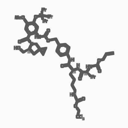 C=CCOC(=O)N[C@H](C(=O)N[C@@H](CCCCNC(=O)OCC(Cl)(Cl)Cl)C(=O)Nc1ccc(COC(=O)Nc2cc(O[Si](C(C)C)(C(C)C)C(C)C)c(OC)cc2C(=O)N2CC3(CC3)C[C@H]2CO)cc1)C(C)C